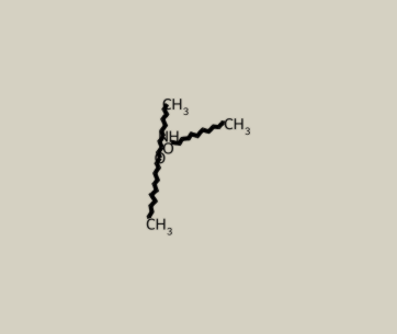 CCCCCCCCCCCCOCC(CNCCCCCC)OCCCCCCCCCCCC